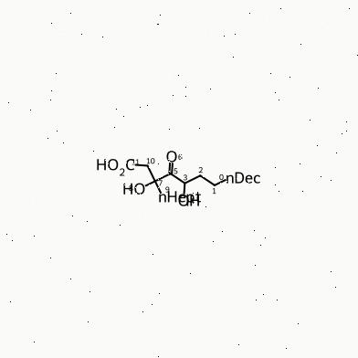 CCCCCCCCCCCCC(O)C(=O)C(O)(CCCCCCC)CC(=O)O